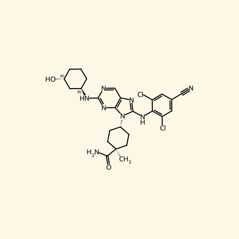 C[C@]1(C(N)=O)CC[C@H](n2c(Nc3c(Cl)cc(C#N)cc3Cl)nc3cnc(N[C@@H]4CCC[C@@H](O)C4)nc32)CC1